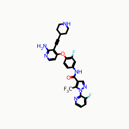 Nc1nccc(Oc2ccc(NC(=O)c3cnn(-c4ncccc4F)c3C(F)(F)F)cc2F)c1C#CC1CCNCC1